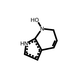 ON1CC=Cc2cc[nH]c21